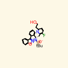 CC(C)(C)[S@+]([O-])N[C@@H](Cc1nc(CCO)ccc1F)c1ccccc1-c1noc2ccccc12